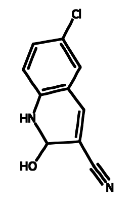 N#CC1=Cc2cc(Cl)ccc2NC1O